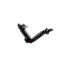 O=[Si]([O-])[O-].O=[Si]([O-])[O-].O=[Si]([O-])[O-].O=[Si]([O-])[O-].O=[Si]([O-])[O-].O=[Si]([O-])[O-].O=[Si]([O-])[O-].O=[Si]([O-])[O-].O=[Si]([O-])[O-].O=[Si]([O-])[O-].O=[Si]([O-])[O-].[Al+3].[Al+3].[Al+3].[Ca+2].[Ca+2].[Ca+2].[Fe+3].[Fe+3].[Fe+3].[Mg+2].[Mg+2].[Mg+2].[Na+].[Na+].[Na+].[OH-].[OH-].[OH-].[OH-].[OH-].[OH-].[OH-].[OH-].[OH-].[OH-].[OH-]